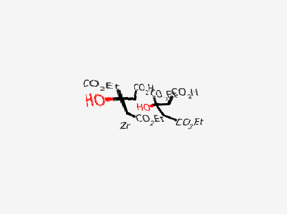 CCOC(=O)CC(O)(CC(=O)O)C(=O)OCC.CCOC(=O)CC(O)(CC(=O)O)C(=O)OCC.[Zr]